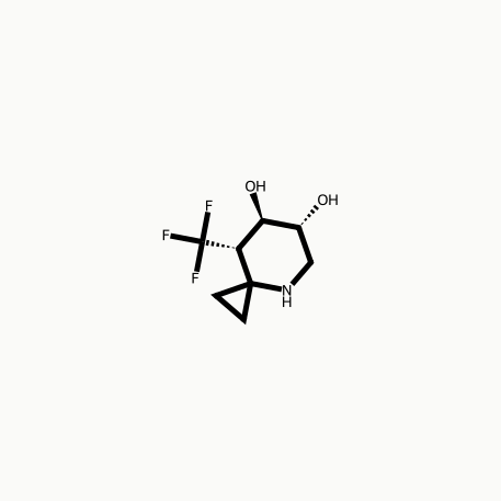 O[C@H]1[C@H](O)CNC2(CC2)[C@@H]1C(F)(F)F